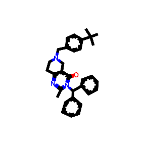 Cc1nc2c(c(=O)n1C(c1ccccc1)c1ccccc1)CN(Cc1ccc(C(C)(C)C)cc1)CC2